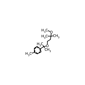 COC(C)(C)CCOC(C)(C)c1ccc(C)cc1